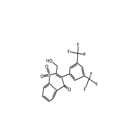 O=C1C(c2cc(C(F)(F)F)cc(C(F)(F)F)c2)=C(CO)S(=O)(=O)c2ccccc21